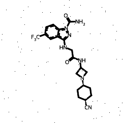 N#C[C@H]1CC[C@@H](N2CC(NC(=O)CNc3nn(C(N)=O)c4ccc(C(F)(F)F)cc34)C2)CC1